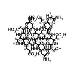 CC(=O)N[C@H](CC(=O)O)C(=O)N[C@H](CC(N)=O)C(=O)N[C@H](CC(=O)O)C(=O)N[C@H](CO)C(=O)N[C@H](CCC(=O)O)C(=O)NC(CC(=O)O)C(=O)N[C@H](CC(N)=O)C(=O)N[C@H](CO)C(=O)N[C@H](CC(=O)O)C(=O)N[C@H](CCC(=O)O)C(=O)N[C@H](CCC(=O)O)C(=O)N[C@H](C)C(N)=O